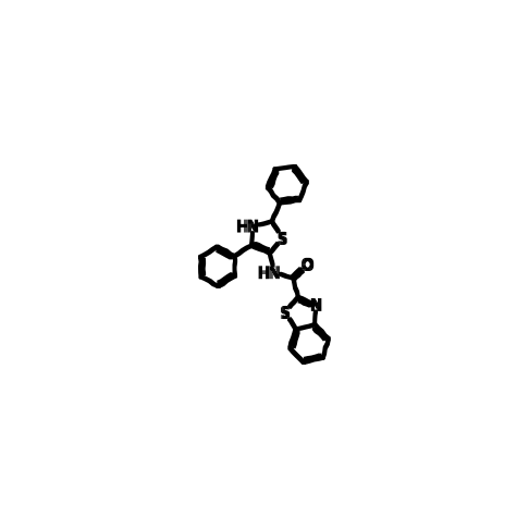 O=C(NC1=C(c2ccccc2)NC(c2ccccc2)S1)c1nc2ccccc2s1